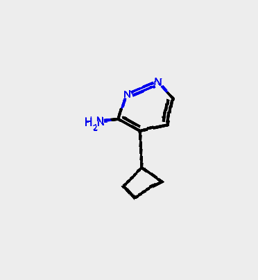 Nc1nnccc1C1CCC1